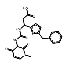 CN1C=CC(=O)C(NC(=O)NC(CC(=O)O)c2ccc(Cc3ccccc3)s2)C1=O